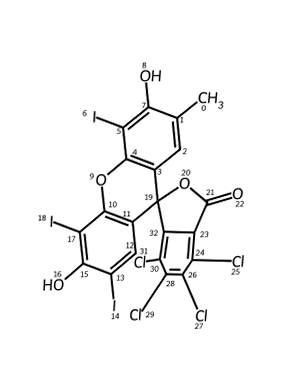 Cc1cc2c(c(I)c1O)Oc1c(cc(I)c(O)c1I)C21OC(=O)c2c(Cl)c(Cl)c(Cl)c(Cl)c21